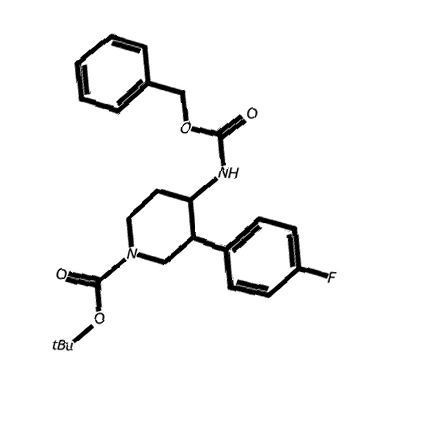 CC(C)(C)OC(=O)N1CCC(NC(=O)OCc2ccccc2)C(c2ccc(F)cc2)C1